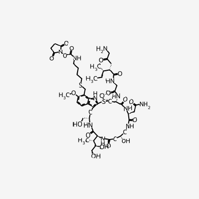 CC[C@H](C)[C@H](CC(=O)CN)C(=O)NCC(=O)N[C@H]1C[S+]([O-])c2[nH]c3c(CSCCCCNC(=O)ON4C(=O)CCC4=O)c(OC)ccc3c2C[C@@H](CO)NC(=O)[C@H]([C@@H](C)[C@@H](O)CO)NC(=O)C[C@@H](O)CNC(=O)[C@H](CC(N)=O)NC1=O